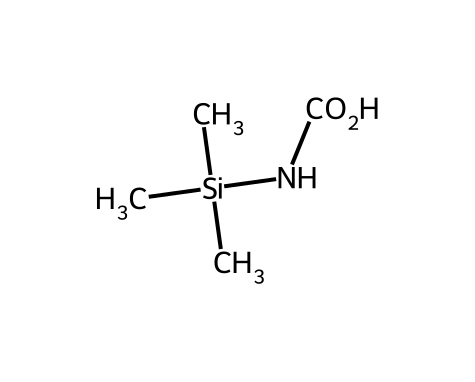 C[Si](C)(C)NC(=O)O